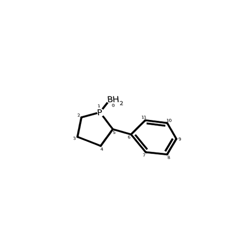 BP1CCCC1c1ccccc1